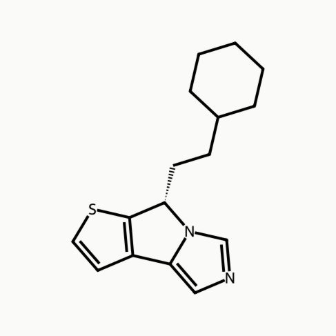 c1cc2c(s1)[C@H](CCC1CCCCC1)n1cncc1-2